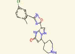 Cc1ccc(Cl)cc1-c1noc(-c2cnn3c(C4CCNCC4)cc(=O)[nH]c23)n1